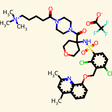 Cc1cc(C)c2cccc(OCc3c(Cl)ccc(S(=O)(=O)NC4(C(=O)N5CCN(C(=O)CCCC[N+](C)(C)C)CC5)CCOCC4)c3Cl)c2n1.O=C([O-])C(F)(F)F